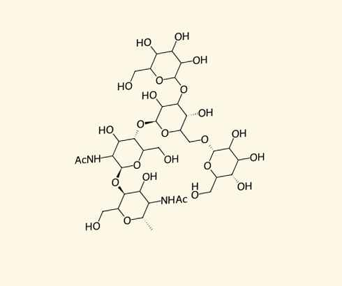 CC(=O)NC1C(O)[C@H](O[C@@H]2OC(CO[C@H]3OC(CO)[C@@H](O)C(O)C3O)[C@@H](O)C(OC3OC(CO)C(O)C(O)C3O)C2O)C(CO)O[C@H]1O[C@@H]1C(CO)O[C@@H](C)C(NC(C)=O)C1O